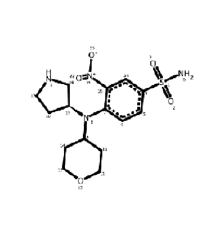 NS(=O)(=O)c1ccc(N(C2CCOCC2)[C@H]2CCNC2)c([N+](=O)[O-])c1